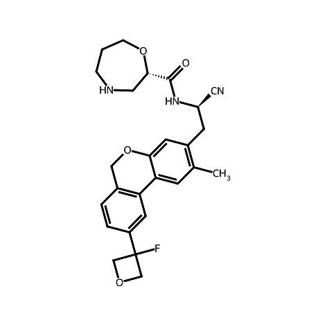 Cc1cc2c(cc1C[C@H](C#N)NC(=O)[C@@H]1CNCCCO1)OCc1ccc(C3(F)COC3)cc1-2